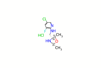 C[C@@H]1CN[C@H](CNc2ncc(Cl)cc2F)[C@H](C)O1.Cl